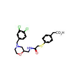 O=C(O)Cc1ccc(SCC(=O)NCC2CN(Cc3ccc(Cl)c(Cl)c3)CCO2)cc1